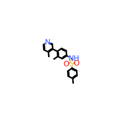 Cc1ccc(S(=O)(=O)Nc2ccc(-c3cnccc3C)c(C)c2)cc1